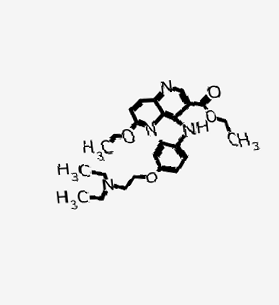 CCOC(=O)c1cnc2ccc(OCC)nc2c1Nc1ccc(OCCN(CC)CC)cc1